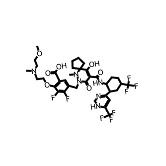 COCCN(C)CCOc1c(C(=O)O)cc(CN2C(=O)C(C(=O)NC3CCC(C(F)(F)F)CC3C3=NCNC(C(F)(F)F)=C3)=C(O)C3(CCCC3)N2C)c(F)c1F